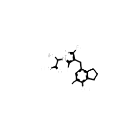 CCc1nn(C(C(N)=O)C(C)C)c(CC)c1Cc1cc(C)c(O)c2c1CCC2